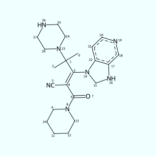 CC(C)(C(=C(C#N)C(=O)N1CCCCC1)N1CNc2cnccc21)N1CCNCC1